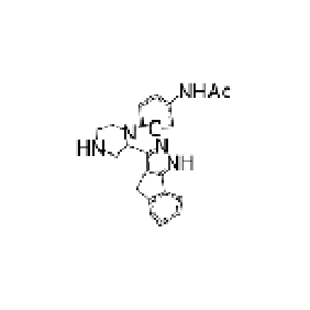 CC(=O)Nc1ccc(N2CCNCC2c2n[nH]c3c2Cc2ccccc2-3)cc1